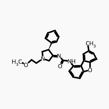 COCCN1C/C(=N\C(=O)Nc2cccc3oc4ccc(C)cc4c23)[C@H](c2ccccc2)C1